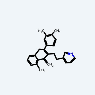 C=C1C(CCc2cccnc2)=C(c2ccc(C)c(C)c2)Cc2cccc(C)c21